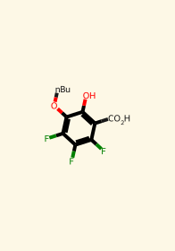 CCCCOc1c(O)c(C(=O)O)c(F)c(F)c1F